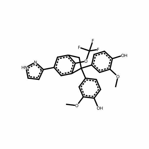 COc1cc(C2(c3ccc(O)c(OC)c3)Cc3cc(-c4cc[nH]n4)cc2c3OC(F)(F)F)ccc1O